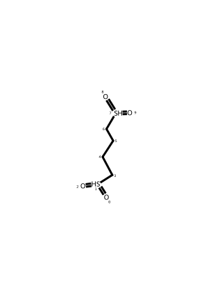 O=[SH](=O)CCCC[SH](=O)=O